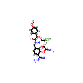 CCOC(C(=O)NCc1ccc(C(=N)N)cc1O[C@H](C)C(N)=O)c1ccc(OC)cc1F.Cl